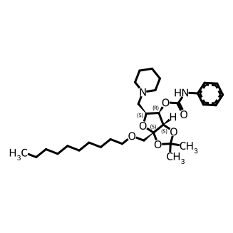 CCCCCCCCCCOC[C@@]12O[C@@H](CN3CCCCC3)[C@@H](OC(=O)Nc3ccccc3)[C@@H]1OC(C)(C)O2